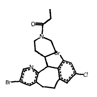 CCC(=O)N1CCC(C2c3ncc(Br)cc3CCc3cc(Cl)cc(Br)c32)CC1